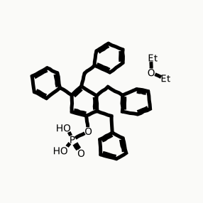 CCOCC.O=P(O)(O)Oc1cc(-c2ccccc2)c(Cc2ccccc2)c(Cc2ccccc2)c1Cc1ccccc1